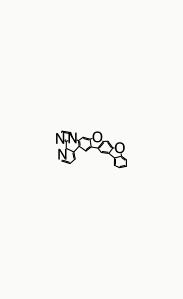 c1ccc2c(c1)oc1cc3oc4cc5c(cc4c3cc12)c1cccnc1c1nccn51